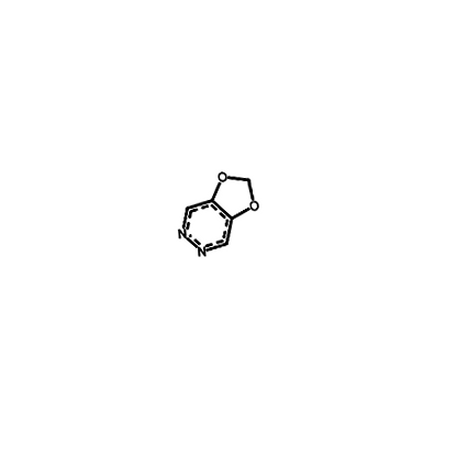 c1nncc2c1OCO2